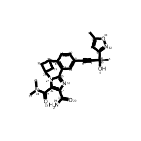 Cc1cc([C@](C)(O)C#Cc2ccc3c(c2)-c2nc(C(N)=O)c(C(=O)N(C)C)n2C2CC3C2)no1